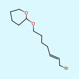 BrCC=CCCCCOC1CCCCO1